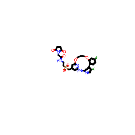 O=C(CN1C(=O)C=CC1=O)NCCS(=O)(=O)Cc1cc2nc(c1)OCCCOc1cc(F)ccc1-c1cc(ncc1F)N2